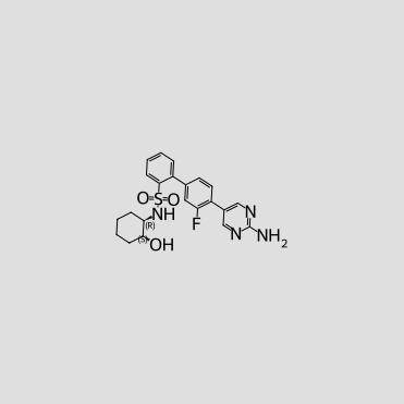 Nc1ncc(-c2ccc(-c3ccccc3S(=O)(=O)N[C@@H]3CCCC[C@@H]3O)cc2F)cn1